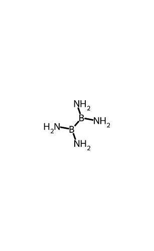 NB(N)B(N)N